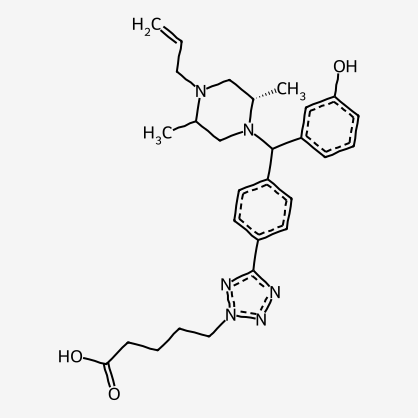 C=CCN1C[C@H](C)N(C(c2ccc(-c3nnn(CCCCC(=O)O)n3)cc2)c2cccc(O)c2)CC1C